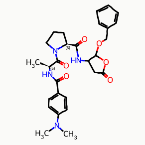 C[C@H](NC(=O)c1ccc(N(C)C)cc1)C(=O)N1CCC[C@H]1C(=O)NC1CC(=O)OC1OCc1ccccc1